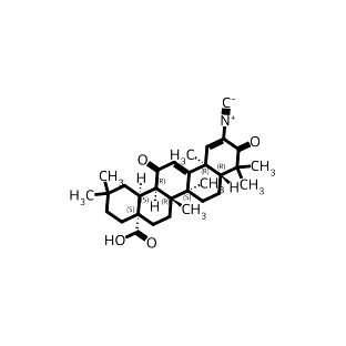 [C-]#[N+]C1=C[C@]2(C)C3=CC(=O)[C@@H]4[C@@H]5CC(C)(C)CC[C@]5(C(=O)O)CC[C@@]4(C)[C@]3(C)CC[C@H]2C(C)(C)C1=O